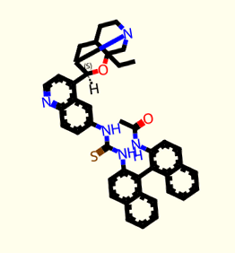 CCC12CN3CCC1CC3[C@H](c1ccnc3ccc(NC(=S)Nc4ccc5ccccc5c4-c4c(NC(C)=O)ccc5ccccc45)cc13)O2